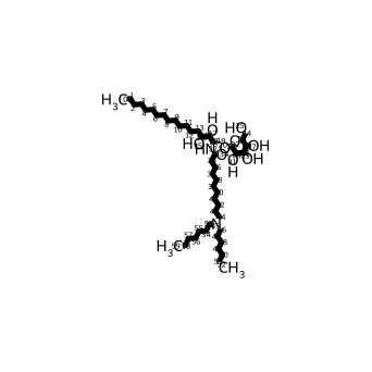 CCCCCCCCCCCCCC[C@@H](O)[C@@H](O)[C@H](CO[C@H]1OC(CO)[C@H](O)[C@@H](O)[C@@H]1O)NC(=O)CCCCCCCCCCN(CCCCCCC)CCCCCCC